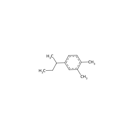 CC[C](C)c1ccc(C)c(C)c1